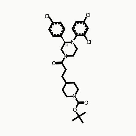 CC(C)(C)OC(=O)N1CCC(CCC(=O)N2CCN(c3ccc(Cl)cc3Cl)[C@H](c3ccc(Cl)cc3)C2)CC1